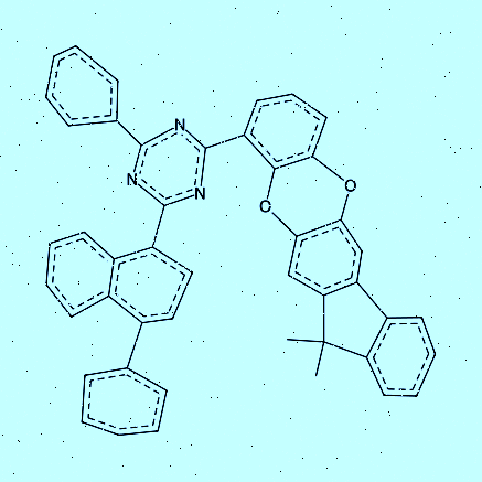 CC1(C)c2ccccc2-c2cc3c(cc21)Oc1c(cccc1-c1nc(-c2ccccc2)nc(-c2ccc(-c4ccccc4)c4ccccc24)n1)O3